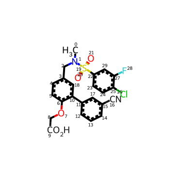 CN(Cc1ccc(OCC(=O)O)c(-c2cccc(C#N)c2)c1)S(=O)(=O)c1ccc(Cl)c(F)c1